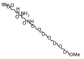 COCCOCCOCCOCCOCCOCCOCCOCCNC(=O)CC[C@H](N)C(=O)NCCCC(=O)OC(C)(C)C